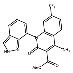 COC(=O)c1c(N)c2ccc(C(F)(F)F)cc2n(-c2cccc3c[nH]nc23)c1=O